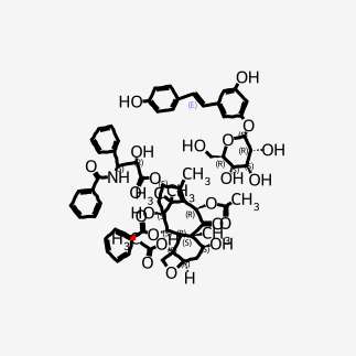 CC(=O)O[C@H]1C(=O)[C@@]2(C)[C@H]([C@H](OC(=O)c3ccccc3)[C@]3(O)C[C@H](OC(=O)[C@H](O)[C@@H](NC(=O)c4ccccc4)c4ccccc4)C(C)=C1C3(C)C)[C@]1(OC(C)=O)CO[C@@H]1C[C@@H]2O.OC[C@H]1O[C@@H](Oc2cc(O)cc(/C=C/c3ccc(O)cc3)c2)[C@H](O)[C@@H](O)[C@@H]1O